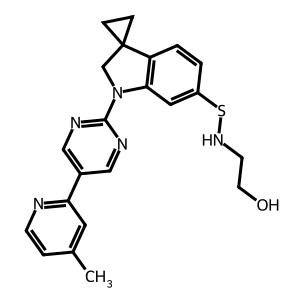 Cc1ccnc(-c2cnc(N3CC4(CC4)c4ccc(SNCCO)cc43)nc2)c1